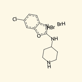 Br.Br.Clc1ccc2nc(NC3CCNCC3)oc2c1